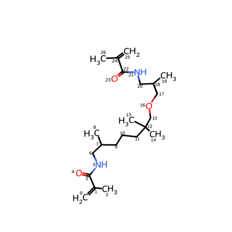 C=C(C)C(=O)NCC(C)CCCC(C)(C)COCC(C)CNC(=O)C(=C)C